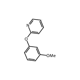 COc1cccc(Oc2cc[c]cn2)c1